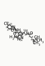 CC(C)N(C)C/C=C/C(=O)N1CCC(n2cc(C(=O)Nc3nc4cc(Cl)ccc4o3)c3c(N)ncnc32)C1